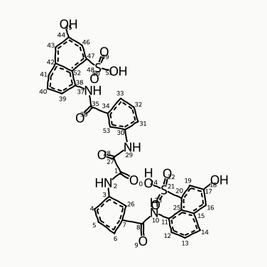 O=C(Nc1cccc(C(=O)Nc2cccc3cc(O)cc(S(=O)(=O)O)c23)c1)C(=O)Nc1cccc(C(=O)Nc2cccc3cc(O)cc(S(=O)(=O)O)c23)c1